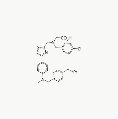 CC(C)Cc1ccc(CN(C)c2ccc(-c3csc(CN(CC(=O)O)Cc4ccc(Cl)cc4)n3)cc2)cc1